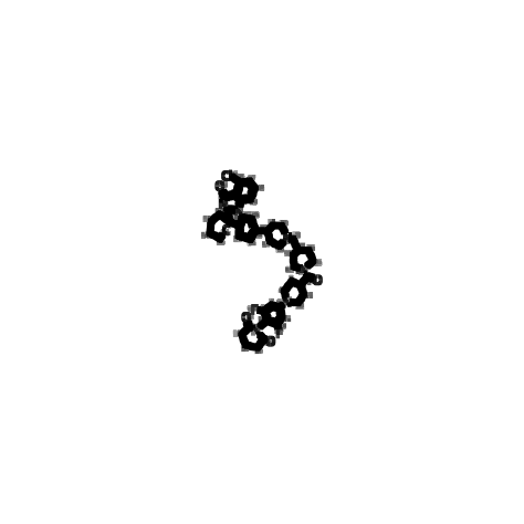 O=C(C1CCN(c2cc(F)c(N3C(=O)CCCC3=O)c(F)c2)CC1)N1CCC(CN2CCC(c3ccc4c(c3)-n3c(nc(=O)c5c(Cl)cccc53)C43CCCCC3)CC2)CC1